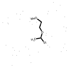 [CH2]OCCOC(C)CC